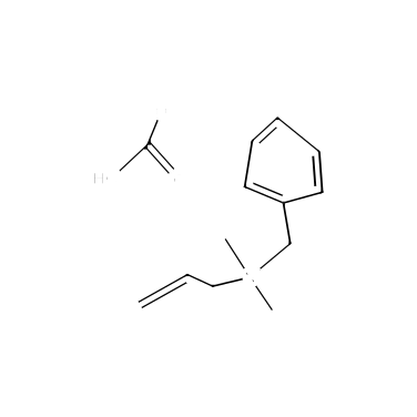 C=CC[N+](C)(C)Cc1ccccc1.O=C([O-])O